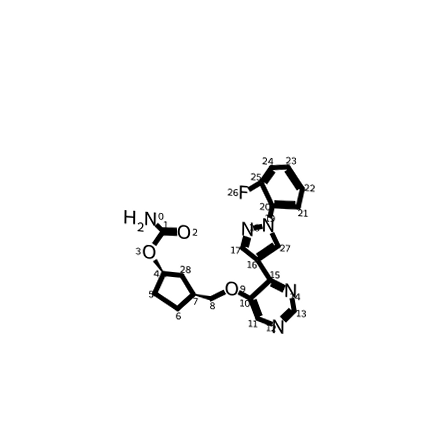 NC(=O)O[C@@H]1CC[C@H](COc2cncnc2-c2cnn(-c3ccccc3F)c2)C1